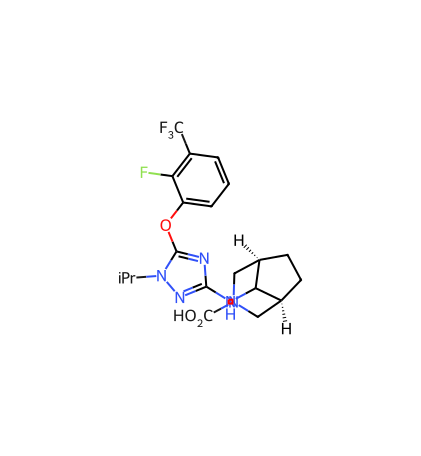 CC(C)n1nc(NC2[C@@H]3CC[C@H]2CN(C(=O)O)C3)nc1Oc1cccc(C(F)(F)F)c1F